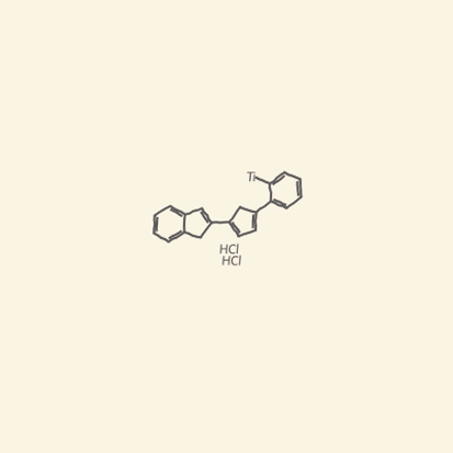 Cl.Cl.[Ti][c]1ccccc1C1=CC=C(C2=Cc3ccccc3C2)C1